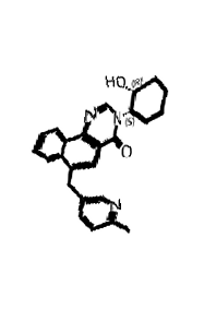 Cc1ccc(Cc2cc3c(=O)n([C@H]4CCCC[C@H]4O)cnc3c3ccccc23)cn1